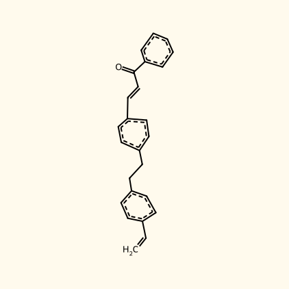 C=Cc1ccc(CCc2ccc(C=CC(=O)c3ccccc3)cc2)cc1